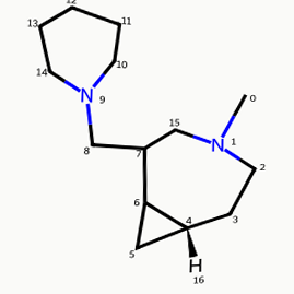 CN1CC[C@@H]2CC2C(CN2CCCCC2)C1